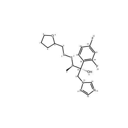 C[C@@H](SSCC1CCCO1)[C@](O)(Cn1cncn1)c1ccc(F)cc1F